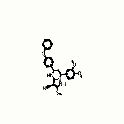 COc1ccc(C2CC(c3ccc(Oc4ccccc4)cc3)NC3C(C#N)=C(SC)NN32)cc1OC